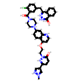 Cn1cc(-c2ccc(=O)n(CCOc3ccnc4cc(N5CCN(C(=O)c6cc(Cc7n[nH]c(=O)c8ccccc78)ccc6F)CC5)ccc34)n2)cn1